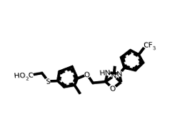 Cc1cc(SCC(=O)O)ccc1OCC12NN(c3ccc(C(F)(F)F)cc3)C(O1)N2C